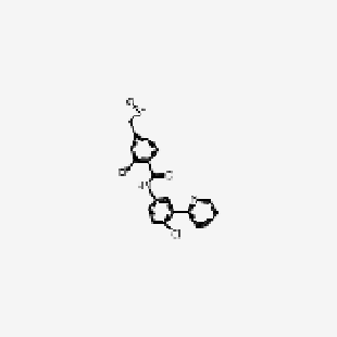 O=[S+]Cc1ccc(C(=O)Nc2ccc(Cl)c(-c3ccccn3)c2)c(Cl)c1